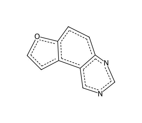 c1ncc2c(ccc3occc32)n1